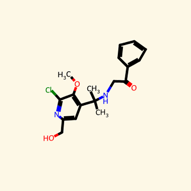 COc1c(C(C)(C)NCC(=O)c2ccccc2)cc(CO)nc1Cl